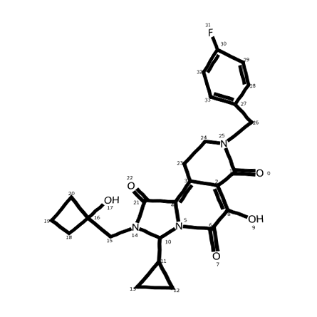 O=C1c2c(c3n(c(=O)c2O)C(C2CC2)N(CC2(O)CCC2)C3=O)CCN1Cc1ccc(F)cc1